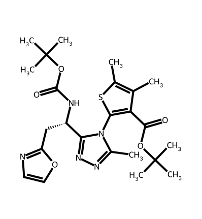 Cc1sc(-n2c(C)nnc2[C@H](Cc2ncco2)NC(=O)OC(C)(C)C)c(C(=O)OC(C)(C)C)c1C